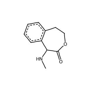 CNC1C(=O)OCCc2ccccc21